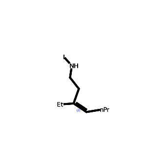 CCC/C=C(/CC)CCNI